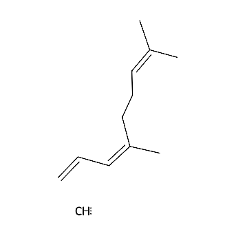 C=CC=C(C)CCC=C(C)C.[CH]